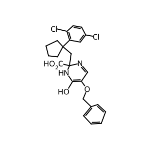 O=C(O)C1(CC2(c3cc(Cl)ccc3Cl)CCCC2)N=CC(OCc2ccccc2)=C(O)N1